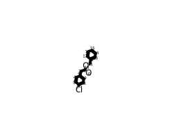 O=C(Cc1ccc(Cl)cc1)OCc1ccccc1